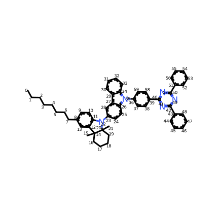 CCCCCCCCc1ccc2c(c1)C1(C)CCCCC1(C)N2c1ccc2c(c1)c1ccccc1n2-c1ccc(-c2nc(-c3ccccc3)nc(-c3ccccc3)n2)cc1